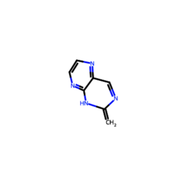 C=C1N=Cc2nccnc2N1